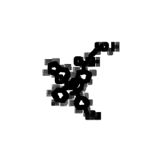 CC(C)(C)c1ccc(C(C)(Cc2ccc(C(=O)NCCS(=O)(=O)O)cc2)C(=O)N(c2ccccc2)c2ccc3cccc-3o2)cc1